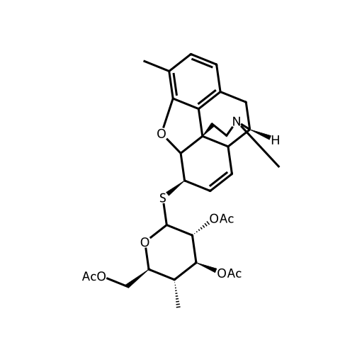 CC(=O)OC[C@H]1OC(S[C@@H]2C=CC3[C@H]4Cc5ccc(C)c6c5[C@@]3(CCN4C)C2O6)[C@H](OC(C)=O)[C@@H](OC(C)=O)[C@@H]1C